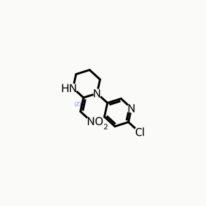 O=[N+]([O-])/C=C1/NCCCN1c1ccc(Cl)nc1